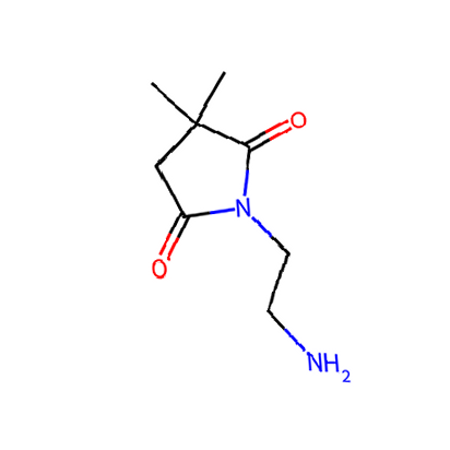 CC1(C)CC(=O)N(CCN)C1=O